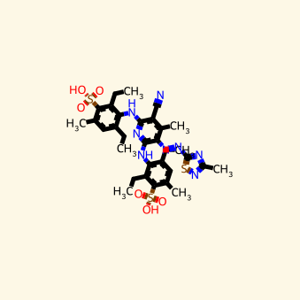 CCc1cc(C)c(S(=O)(=O)O)c(CC)c1Nc1nc(Nc2c(CC)cc(C)c(S(=O)(=O)O)c2CC)c(N=Nc2nc(C)ns2)c(C)c1C#N